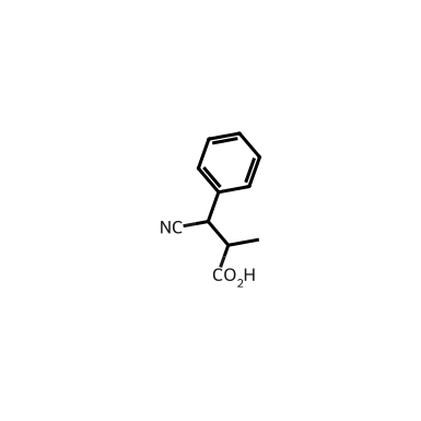 CC(C(=O)O)C(C#N)c1ccccc1